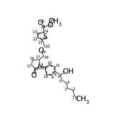 CCCCCCC(O)c1ccc(N2C(=O)CCC2COCc2ccc(C(=O)OC)s2)cc1